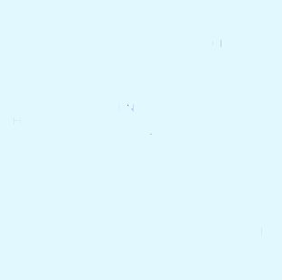 C=Cc1cccc(C(N)(CCCC)CCCC)c1